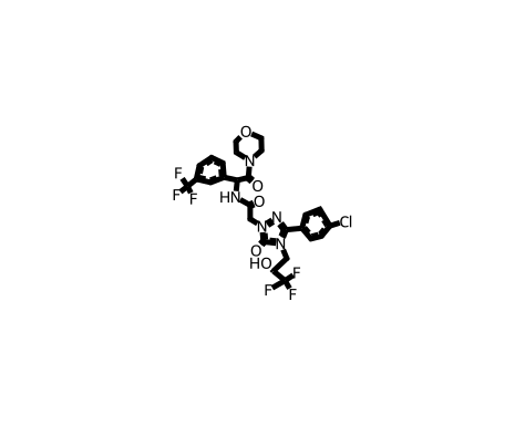 O=C(Cn1nc(-c2ccc(Cl)cc2)n(CC(O)C(F)(F)F)c1=O)NC(C(=O)N1CCOCC1)c1cccc(C(F)(F)F)c1